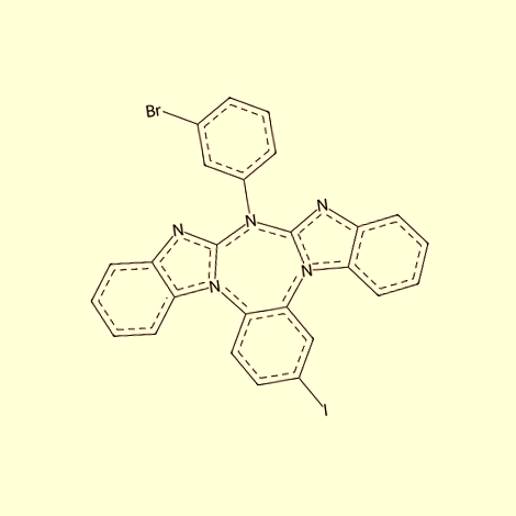 Brc1cccc(-n2c3nc4ccccc4n3c3ccc(I)cc3n3c4ccccc4nc23)c1